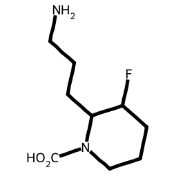 NCCCC1C(F)CCCN1C(=O)O